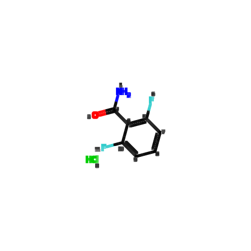 Cl.NC(=O)c1c(F)cccc1F